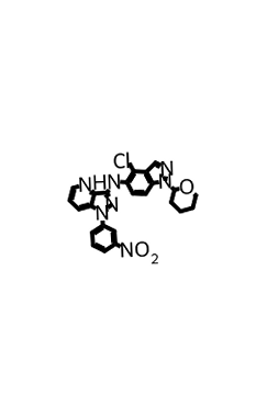 O=[N+]([O-])c1cccc(-n2nc(Nc3ccc4c(cnn4C4CCCCO4)c3Cl)c3ncccc32)c1